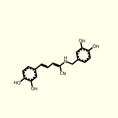 N#C/C(=C\C=C\c1ccc(O)c(O)c1)NCc1ccc(O)c(O)c1